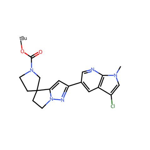 Cn1cc(Cl)c2cc(-c3cc4n(n3)CCC43CCN(C(=O)OC(C)(C)C)C3)cnc21